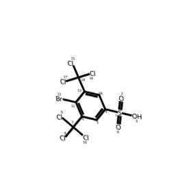 O=S(=O)(O)c1cc(C(Cl)(Cl)Cl)c(Br)c(C(Cl)(Cl)Cl)c1